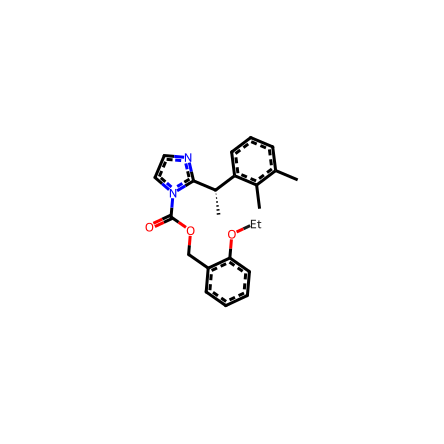 CCOc1ccccc1COC(=O)n1ccnc1[C@@H](C)c1cccc(C)c1C